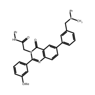 COc1cccc(-c2nc3ccc(-c4cccc(CN(C)C(C)C)c4)cc3c(=O)n2CC(=O)NC(C)C)c1